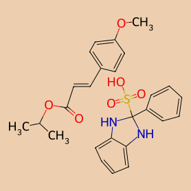 COc1ccc(/C=C/C(=O)OC(C)C)cc1.O=S(=O)(O)C1(c2ccccc2)Nc2ccccc2N1